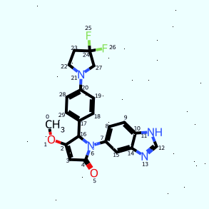 COC1=CC(=O)N(c2ccc3[nH]cnc3c2)C1c1ccc(N2CCC(F)(F)C2)cc1